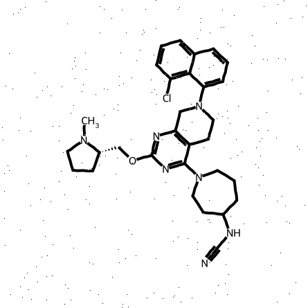 CN1CCC[C@H]1COc1nc2c(c(N3CCCC(NC#N)CC3)n1)CCN(c1cccc3cccc(Cl)c13)C2